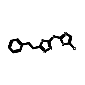 Clc1cnc(Sc2nnc(CCc3ccccc3)s2)s1